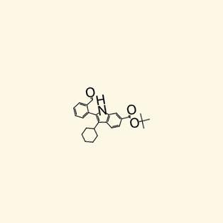 CC(C)(C)OC(=O)c1ccc2c(C3CCCCC3)c(-c3ccccc3C=O)[nH]c2c1